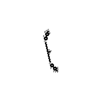 Fc1cc(OCCCCCCCCC(CCCCCCCCOc2ccc(-c3cc(F)c(C(F)(F)F)c(F)c3)c(F)c2)C(F)(F)F)ccc1-c1cc(F)c(C(F)(F)F)c(F)c1